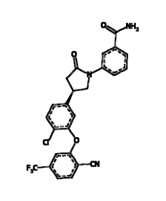 N#Cc1ccc(C(F)(F)F)cc1Oc1cc([C@H]2CC(=O)N(c3cccc(C(N)=O)c3)C2)ccc1Cl